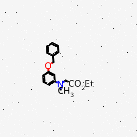 CCOC(=O)CN(C)c1cccc(OCc2ccccc2)c1